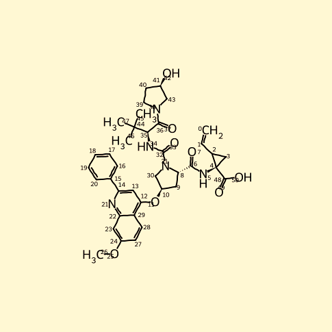 C=CC1C[C@]1(NC(=O)[C@@H]1C[C@@H](Oc2cc(-c3ccccc3)nc3cc(OC)ccc23)CN1C(=O)N[C@H](C(=O)N1CC[C@@H](O)C1)C(C)(C)C)C(=O)O